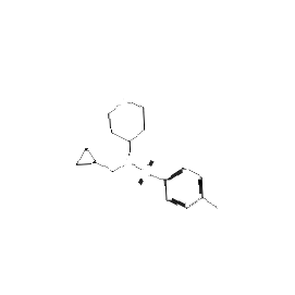 Cc1ccc(S(=O)(=O)N(CC2CC2)C2CCNCC2)cc1